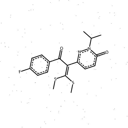 CSC(SC)=C(C(=O)c1ccc(F)cc1)c1ccc(=O)n(C(C)C)n1